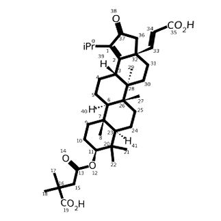 CC(C)C1=C2[C@H]3CC[C@@H]4[C@@]5(C)CC[C@H](OC(=O)CC(C)(C)C(=O)O)C(C)(C)[C@@H]5CC[C@@]4(C)[C@]3(C)CC[C@@]2(/C=C/C(=O)O)CC1=O